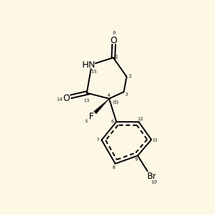 O=C1CC[C@](F)(c2ccc(Br)cc2)C(=O)N1